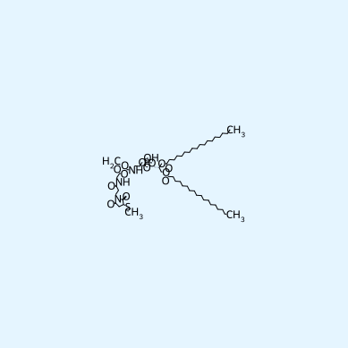 C=COC(CNC(=O)CCN1C(=O)CC(SC)C1=O)OC(=O)NCCOP(=O)(O)OC[C@@H](COC(=O)CCCCCCCCCCCCCCCCC)OC(=O)CCCCCCCCCCCCCCCCC